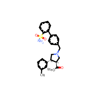 COC(=O)[C@@H]1CN(Cc2ccc(-c3ccccc3S(N)(=O)=O)cc2)C[C@H]1c1cccc(C#N)c1